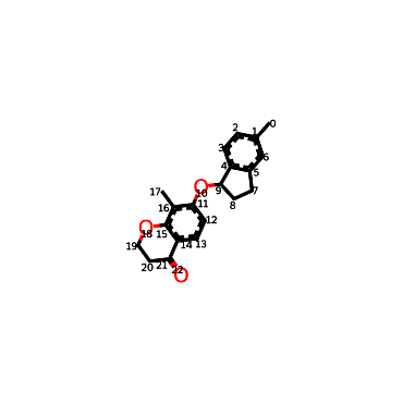 Cc1ccc2c(c1)CCC2Oc1ccc2c(c1C)OCCC2=O